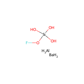 O[Si](O)(O)OF.[AlH3].[BaH2]